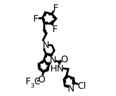 O=C(NCc1ccnc(Cl)c1)n1c2c(c3ccc(OC(F)(F)F)cc31)CN(C/C=C/c1c(F)cc(F)cc1F)CC2